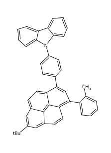 Cc1ccccc1-c1cc(-c2ccc(-n3c4ccccc4c4ccccc43)cc2)c2ccc3cc(C(C)(C)C)cc4ccc1c2c34